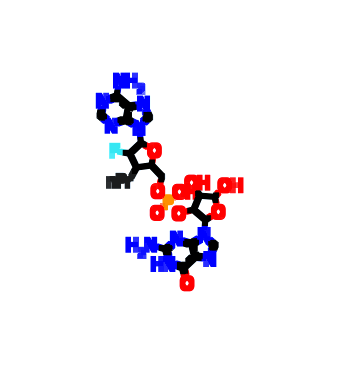 CCCC1C(COP(=O)(O)OC2C(O)C(O)OC2n2cnc3c(=O)[nH]c(N)nc32)OC(n2cnc3c(N)ncnc32)C1F